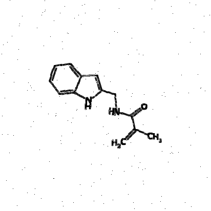 C=C(C)C(=O)NCc1cc2ccccc2[nH]1